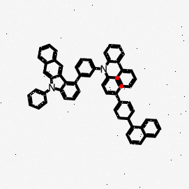 C1=CC(c2cccc3ccccc23)CC=C1c1ccc(N(c2cccc(-c3cccc4c3c3cc5ccccc5cc3n4-c3ccccc3)c2)c2ccccc2-c2ccccc2)cc1